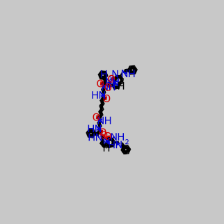 N[C@@H]1C(=O)N2[C@@H](CC[C@@H]1CNCc1ccccc1)CC[C@H]2C(=O)N[C@H](C(=O)NCCNC(=O)CCCCCCC(=O)NCCNC(=O)[C@@H](NC(=O)[C@@H]1CC[C@@H]2CC[C@H](CNCc3ccccc3)[C@H](N)C(=O)N21)c1ccccc1)c1ccccc1